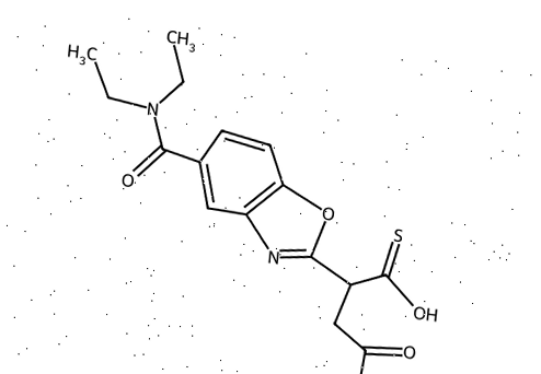 CCN(CC)C(=O)c1ccc2oc(C(CC(=O)O)C(O)=S)nc2c1